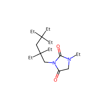 [CH2]CC(CC)(CN1C(=O)CN(CC)C1=O)CC(CC)(CC)CC